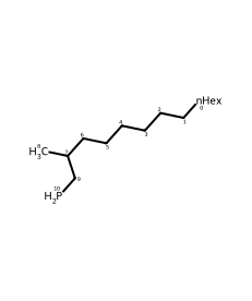 CCCCCCCCCCCCC(C)CP